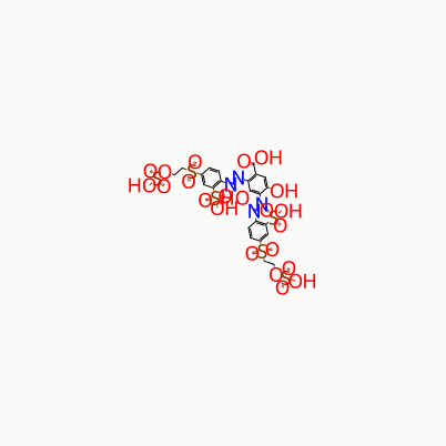 O=C(O)c1cc(O)c(N=Nc2ccc(S(=O)(=O)CCOS(=O)(=O)O)cc2S(=O)(=O)O)c(O)c1N=Nc1ccc(S(=O)(=O)CCOS(=O)(=O)O)cc1S(=O)(=O)O